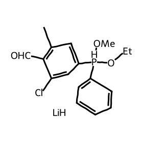 CCO[PH](OC)(c1ccccc1)c1cc(C)c(C=O)c(Cl)c1.[LiH]